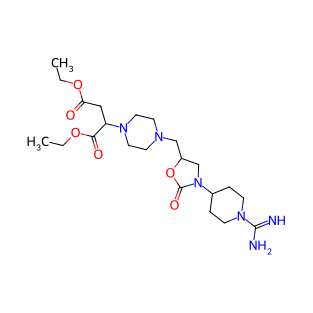 CCOC(=O)CC(C(=O)OCC)N1CCN(CC2CN(C3CCN(C(=N)N)CC3)C(=O)O2)CC1